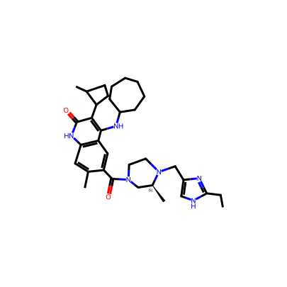 CCc1nc(CN2CCN(C(=O)c3cc4c(NC5CCCCCC5)c(C5CCC5C)c(=O)[nH]c4cc3C)C[C@@H]2C)c[nH]1